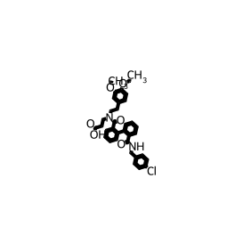 CCOc1ccc(CCN(CCC(=O)O)C(=O)c2ccccc2-c2ccccc2C(=O)NCc2ccc(Cl)cc2)cc1OC